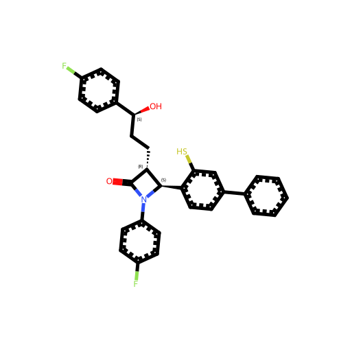 O=C1[C@H](CC[C@H](O)c2ccc(F)cc2)[C@@H](c2ccc(-c3ccccc3)cc2S)N1c1ccc(F)cc1